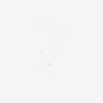 O=P(c1ccc(-c2ccc3cccnc3n2)cc1)(c1cccc2ccccc12)c1cccc2ccccc12